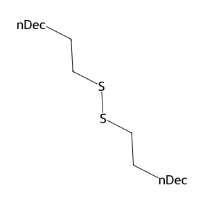 CCCCCCCCCCCCSSCCCCCCCCCCCC